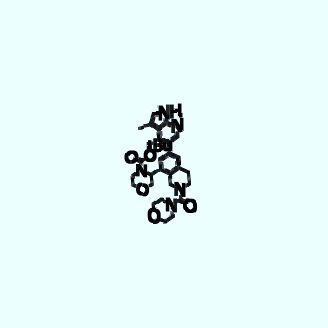 Cc1c[nH]c2ncc(-c3cc4c(c(C5COCCN5C(=O)OC(C)(C)C)c3)CN(C(=O)N3CCOCC3)CC4)cc12